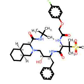 CC(C)(C)NC(=O)[C@@H]1C[C@@H]2CCCC[C@@H]2CN1C[C@@H](O)[C@H](Cc1ccccc1)NC(=O)[C@@H](NC(=O)COc1ccc(F)cc1)C(C)(C)S(C)(=O)=O